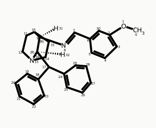 COc1cccc(C=N[C@@H]2C3CCN(CC3)[C@@H]2C(c2ccccc2)c2ccccc2)c1